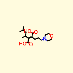 CC(C)CC(C)/C(C(=O)O)=C(/CCCN1CCOCC1)C(=O)O